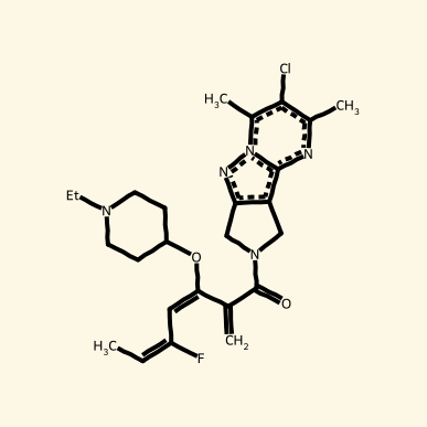 C=C(C(=O)N1Cc2nn3c(C)c(Cl)c(C)nc3c2C1)/C(=C\C(F)=C/C)OC1CCN(CC)CC1